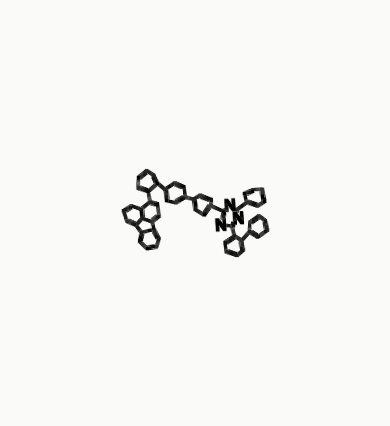 c1ccc(-c2nc(-c3ccc(-c4ccc(-c5ccccc5-c5ccc6c7c(cccc57)-c5ccccc5-6)cc4)cc3)nc(-c3ccccc3-c3ccccc3)n2)cc1